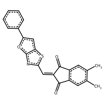 Cc1cc2c(cc1C)C(=O)C(=Cc1nc3oc(-c4ccccc4)cc3s1)C2=O